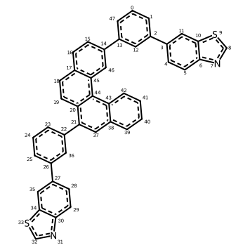 c1cc(-c2ccc3ncsc3c2)cc(-c2ccc3ccc4c(-c5cccc(-c6ccc7ncsc7c6)c5)cc5ccccc5c4c3c2)c1